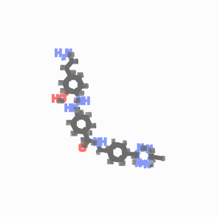 Cc1nnc(-c2ccc(CNC(=O)c3ccc(NNc4ccc(CCN)cc4O)cc3)cc2)nn1